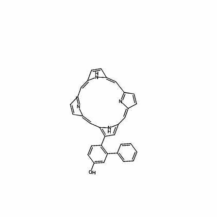 Oc1ccc(-c2cc3cc4nc(cc5ccc(cc6nc(cc2[nH]3)C=C6)[nH]5)C=C4)c(-c2ccccc2)c1